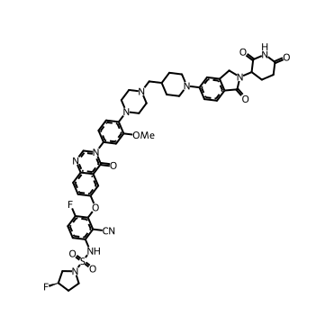 COc1cc(-n2cnc3ccc(Oc4c(F)ccc(NS(=O)(=O)N5CC[C@@H](F)C5)c4C#N)cc3c2=O)ccc1N1CCN(CC2CCN(c3ccc4c(c3)CN(C3CCC(=O)NC3=O)C4=O)CC2)CC1